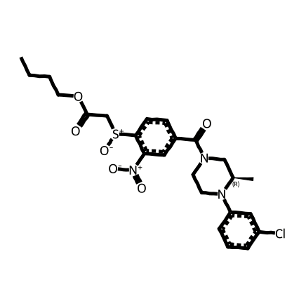 CCCCOC(=O)C[S+]([O-])c1ccc(C(=O)N2CCN(c3cccc(Cl)c3)[C@H](C)C2)cc1[N+](=O)[O-]